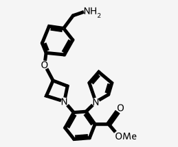 COC(=O)c1cccc(N2CC(Oc3ccc(CN)cc3)C2)c1-n1cccc1